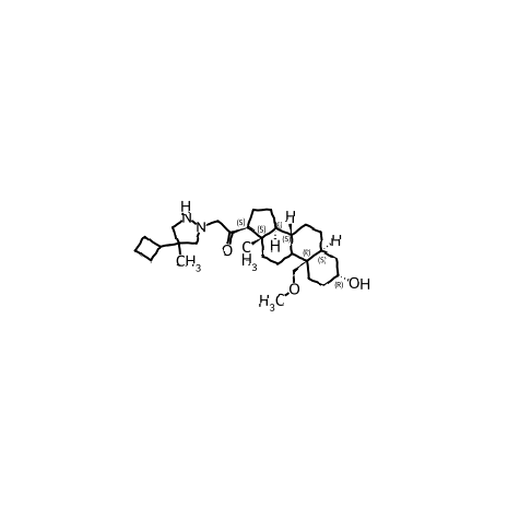 COC[C@]12CC[C@@H](O)C[C@@H]1CC[C@@H]1C2CC[C@]2(C)[C@@H](C(=O)CN3CC(C)(C4CCC4)CN3)CC[C@@H]12